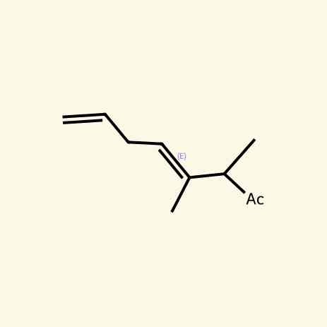 C=CC/C=C(\C)C(C)C(C)=O